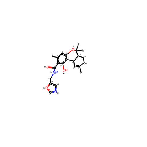 CC1=CC2c3c(cc(C)c(C(=O)NCc4cnco4)c3O)OC(C)(C)C2CC1